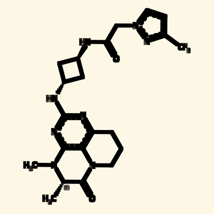 C[C@H]1C(=O)N2CCCc3nc(N[C@H]4C[C@H](NC(=O)Cn5ccc(C(F)(F)F)n5)C4)nc(c32)N1C